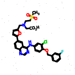 CS(=O)(=O)CCN(CC(=O)O)Cc1ccc(-c2ccc3ncnc(Nc4ccc(OCc5cccc(F)c5)c(Cl)c4)c3c2)o1